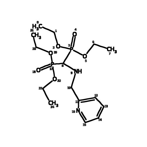 CCOP(=O)(OCC)C(NCc1ccccn1)P(=O)(OCC)OCC